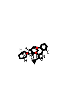 Cn1c(N2[C@@H]3CC[C@H]2CC(OC(=O)Cc2c(-c4c(Cl)cccc4Cl)noc2C2CC2)C3)nc2c(F)cccc21